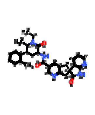 Cc1ccccc1[C@@H]1C[C@H](NC(=O)c2cnc3c(c2)C[C@@]2(C3)C(=O)Nc3ncccc32)C(=O)N(CC(F)(F)F)[C@@H]1C